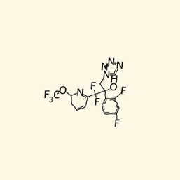 OC(Cn1cnnn1)(c1ccc(F)cc1F)C(F)(F)C1=NC(OC(F)(F)F)CC=C1